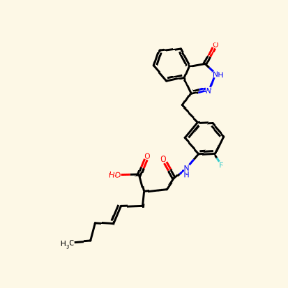 CCCC=CCC(CC(=O)Nc1cc(Cc2n[nH]c(=O)c3ccccc23)ccc1F)C(=O)O